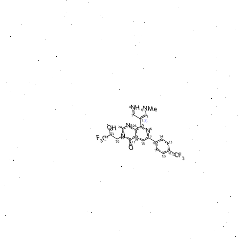 CN/C=C(\C=N)c1nc(-c2ccc(C(F)(F)F)cc2)cc2c(=O)n(CC(O)C(F)(F)F)cnc12